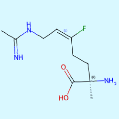 CC(=N)NC/C=C(/F)CC[C@@](C)(N)C(=O)O